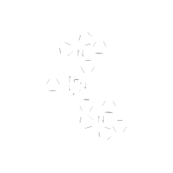 c1ccc(-c2nc(-c3cccc(-c4cccc(-c5ccccc5)c4-n4c5ccccc5c5ccccc54)c3)nc(-c3ccc(-c4ccccc4)c(-n4c5ccccc5c5ccccc54)c3)n2)cc1